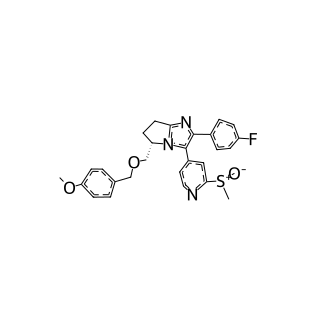 COc1ccc(COC[C@@H]2CCc3nc(-c4ccc(F)cc4)c(-c4ccnc([S+](C)[O-])c4)n32)cc1